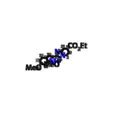 CCOC(=O)c1ccn2c(COC)c(-c3cc4ccc(OC)cc4[nH]3)nc2c1